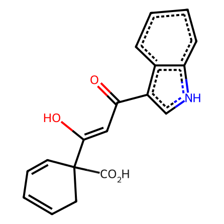 O=C(C=C(O)C1(C(=O)O)C=CC=CC1)c1c[nH]c2ccccc12